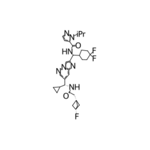 CC(C)n1nccc1C(=O)N[C@H](c1cn2ncc([C@H](NC(=O)C[C@]34C[C@](F)(C3)C4)C3CC3)cc2n1)C1CCC(F)(F)CC1